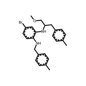 COCC(Cc1ccc(C)cc1)Nc1cc(Br)ccc1NCc1ccc(C)cc1